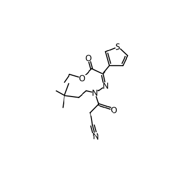 CCOC(=O)/C(=N\N(CCC(C)(C)C)C(=O)CC#N)c1ccsc1